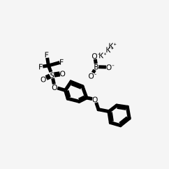 O=S(=O)(Oc1ccc(OCc2ccccc2)cc1)C(F)(F)F.[K+].[K+].[K+].[O-]B([O-])[O-]